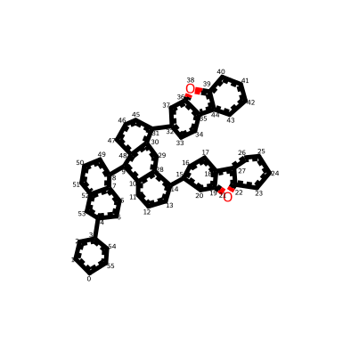 c1ccc(-c2ccc3c(-c4c5cccc(-c6ccc7c(c6)oc6ccccc67)c5cc5c(-c6ccc7c(c6)oc6ccccc67)cccc45)cccc3c2)cc1